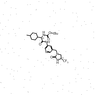 CC1CCC([C@@H](NC(=O)OC(C)(C)C)C(=O)Nc2cncc(CN3C[C@@H](C(F)(F)F)NC3=O)c2)CC1